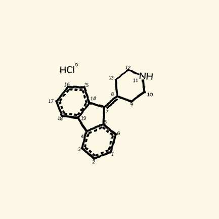 Cl.c1ccc2c(c1)C(=C1CCNCC1)c1ccccc1-2